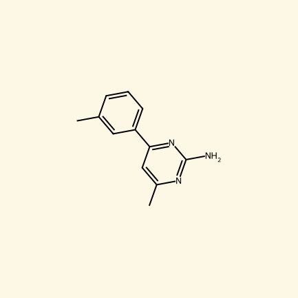 Cc1cccc(-c2cc(C)nc(N)n2)c1